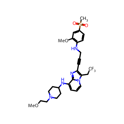 COCCN1CCC(Nc2cccn3c(CC(F)(F)F)c(C#CCNc4ccc(S(C)(=O)=O)cc4OC)nc23)CC1